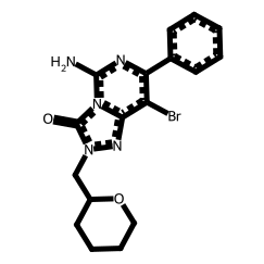 Nc1nc(-c2ccccc2)c(Br)c2nn(CC3CCCCO3)c(=O)n12